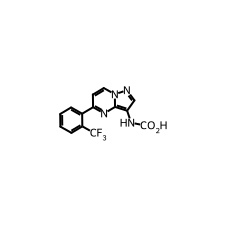 O=C(O)Nc1cnn2ccc(-c3ccccc3C(F)(F)F)nc12